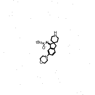 CC(C)(C)[S@@+]([O-])N=C1c2cc(N3CCOCC3)ccc2CC12CCNCC2